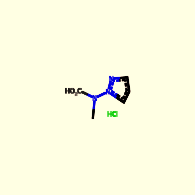 CN(C(=O)O)n1cccn1.Cl